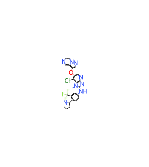 CN1CCCC1c1ccc(Nc2nc3ncc(Oc4cnn5ccncc45)c(Cl)c3n2C)cc1C(F)(F)F